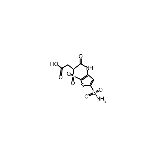 NS(=O)(=O)c1cc2c(s1)S(=O)(=O)C(CC(=O)O)C(=O)N2